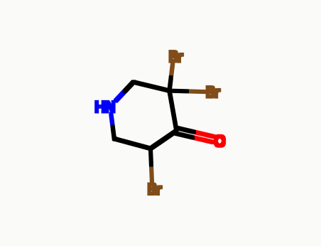 O=C1C(Br)CNCC1(Br)Br